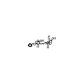 O=C(NC(CCCCNCC1(O)OCC(O)C1O)C(=O)O)OCc1ccccc1